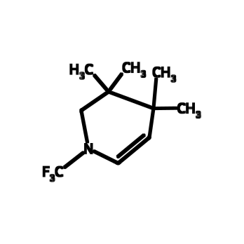 CC1(C)C=CN(C(F)(F)F)CC1(C)C